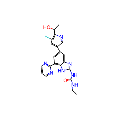 CCNC(=O)Nc1nc2cc(-c3cnc(C(C)O)c(F)c3)cc(-c3ncccn3)c2[nH]1